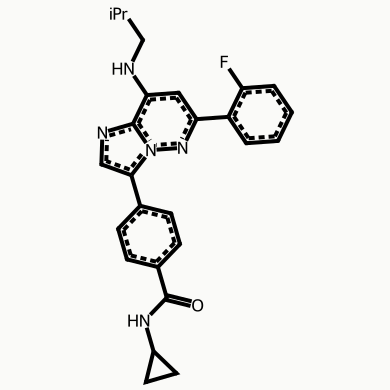 CC(C)CNc1cc(-c2ccccc2F)nn2c(-c3ccc(C(=O)NC4CC4)cc3)cnc12